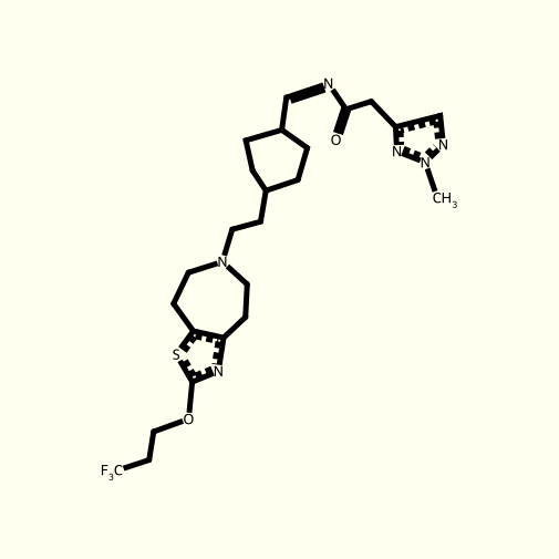 Cn1ncc(CC(=O)/N=C\C2CCC(CCN3CCc4nc(OCCC(F)(F)F)sc4CC3)CC2)n1